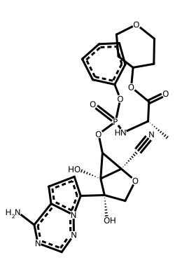 C[C@H](NP(=O)(Oc1ccccc1)OC1[C@]2(O)[C@](O)(c3ccc4c(N)ncnn34)CO[C@]12C#N)C(=O)OC1CCOCC1